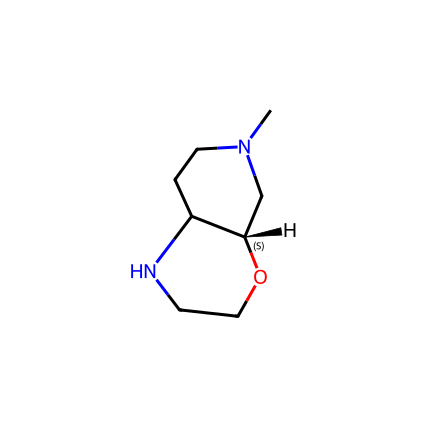 CN1CCC2NCCO[C@H]2C1